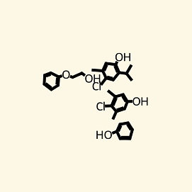 Cc1cc(O)c(C(C)C)cc1Cl.Cc1cc(O)cc(C)c1Cl.OCCOc1ccccc1.Oc1ccccc1